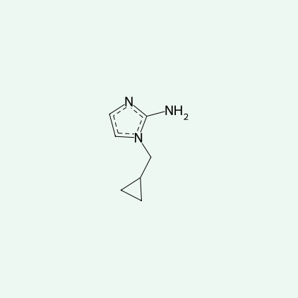 Nc1nccn1CC1CC1